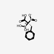 O=C(O)[C@](Cc1ccccc1)(N(O)O)[N+](=O)[O-]